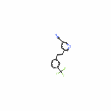 N#Cc1cncc(C=Cc2cccc(C(F)(F)F)c2)c1